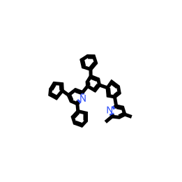 Cc1cc(C)nc(-c2cccc(-c3cc(-c4ccccc4)cc(-c4cc(-c5ccccc5)cc(-c5ccccc5)n4)c3)c2)c1